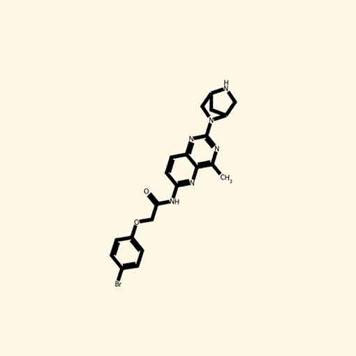 Cc1nc(N2CC3CC2CN3)nc2ccc(NC(=O)COc3ccc(Br)cc3)nc12